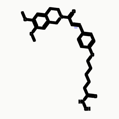 COc1cc2c(cc1OC)CN(C(=O)/C=C/c1ccc(OCCCCCC(=O)NO)cc1)CC2